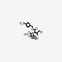 CCCOC1(NC(C)=O)C(=O)N2C(C(=O)OCc3ccc([N+](=O)[O-])cc3)=C(CCl)C[S+]([O-])[C@H]21